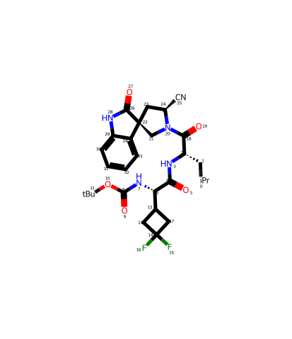 CC(C)C[C@H](NC(=O)[C@@H](NC(=O)OC(C)(C)C)C1CC(F)(F)C1)C(=O)N1C[C@]2(C[C@H]1C#N)C(=O)Nc1ccccc12